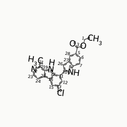 CCOC(=O)c1ccc2[nH]c(-c3cc(Cl)cc4c3[nH]c3c(C)nccc34)cc2c1